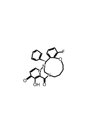 O=C1c2c(O)c(=O)ccn2N2CN1CCCCOc1c(F)cccc1[C@@H]2c1ccccc1